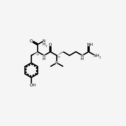 CN(C)[C@@H](CCCNC(=N)N)C(=O)N[C@@H](Cc1ccc(O)cc1)C(N)=O